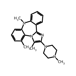 Cc1cccc2c1-n1c(nc(N3CCN(C)CC3)c1C)-c1ccccc1N2C